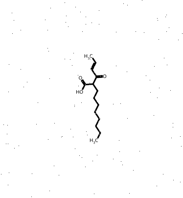 C/C=C/C(=O)C(CCCCCCCC)C(=O)O